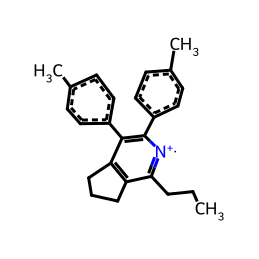 CCCC1=[N+]C(c2ccc(C)cc2)=C(c2ccc(C)cc2)C2=C1CCC2